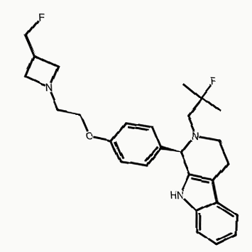 CC(C)(F)CN1CCc2c([nH]c3ccccc23)[C@H]1c1ccc(OCCN2CC(CF)C2)cc1